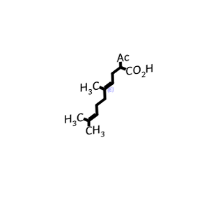 CC(=O)C(C/C=C(\C)CCC=C(C)C)C(=O)O